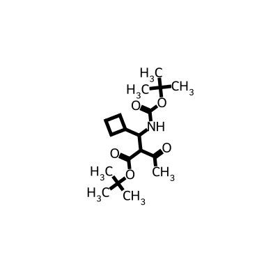 CC(=O)C(C(=O)OC(C)(C)C)C(NC(=O)OC(C)(C)C)C1CCC1